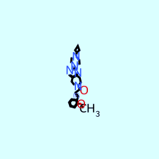 COc1ccccc1/C=C/C(=O)N1CCc2cnc(N3CCN(C4CCC4)CC3)nc2CC1